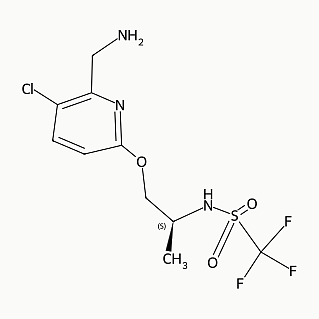 C[C@@H](COc1ccc(Cl)c(CN)n1)NS(=O)(=O)C(F)(F)F